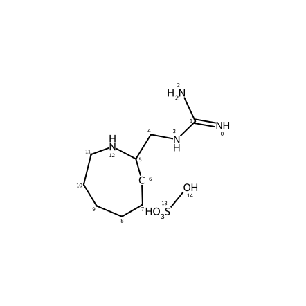 N=C(N)NCC1CCCCCCN1.O=S(=O)(O)O